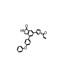 C=CC(=O)n1ccc(-c2cc3c(c(-c4ccc(Oc5ccccc5)cc4)c2)CNC3=O)c1